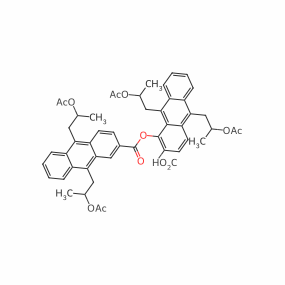 CC(=O)OC(C)Cc1c2ccccc2c(CC(C)OC(C)=O)c2cc(C(=O)Oc3c(C(=O)O)ccc4c(CC(C)OC(C)=O)c5ccccc5c(CC(C)OC(C)=O)c34)ccc12